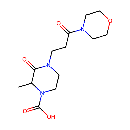 CC1C(=O)N(CCC(=O)N2CCOCC2)CCN1C(=O)O